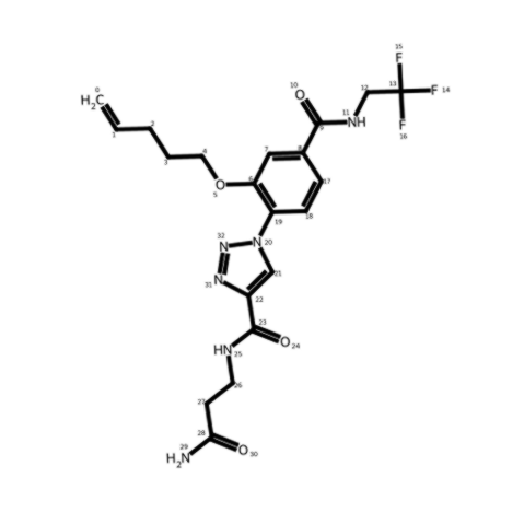 C=CCCCOc1cc(C(=O)NCC(F)(F)F)ccc1-n1cc(C(=O)NCCC(N)=O)nn1